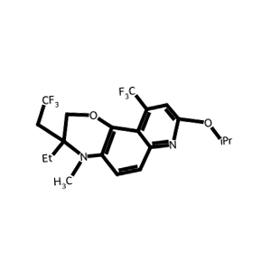 CCC1(CC(F)(F)F)COc2c(ccc3nc(OC(C)C)cc(C(F)(F)F)c23)N1C